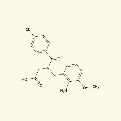 COc1cccc(CN(CC(=O)O)C(=O)c2ccc(Cl)cc2)c1N